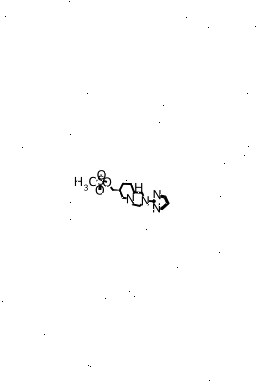 CS(=O)(=O)OC[C@H]1CC[C@H]2CN(c3ncccn3)CCN2C1